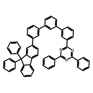 c1ccc(-c2nc(-c3ccccc3)nc(-c3cccc(-c4cccc(-c5cccc(-c6ccc7c(c6)C(c6ccccc6)(c6ccccc6)c6ccccc6-7)c5)c4)c3)n2)cc1